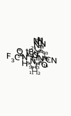 CC(C)(C)[C@H](NC(=O)C(F)(F)F)C(=O)N1CC2CCC2C1C(=O)N[C@H](C#N)C[C@@H]1CCn2nnnc21